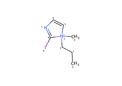 CCC[N+]1(C)C=CN=C1I